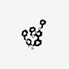 C[C@@H]1CN(Cc2ccccc2)CC[C@H]1Nc1cccc(-c2ccc(OCc3ccccc3)nc2OCc2ccccc2)c1